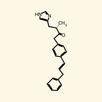 C[C@@H](Cc1c[nH]cn1)C(=O)Cc1ccc(/C=C/Cc2ccccc2)cc1